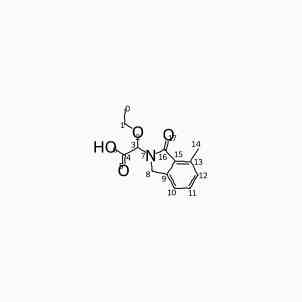 CCOC(C(=O)O)N1Cc2cccc(C)c2C1=O